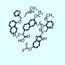 CNCC[C@H](Oc1cccc2ccccc12)c1cccs1.COc1ccc2cc([C@H](C)C(=O)O)ccc2c1.COc1ccnc(C[S+]([O-])c2nc3cc(OC(F)F)ccc3[nH]2)c1OC